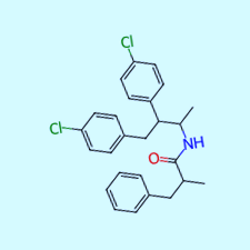 CC(Cc1ccccc1)C(=O)NC(C)C(Cc1ccc(Cl)cc1)c1ccc(Cl)cc1